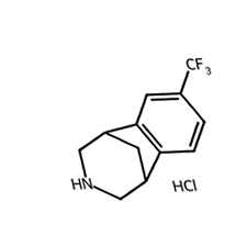 Cl.FC(F)(F)c1ccc2c(c1)C1CNCC2C1